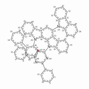 c1ccc(-c2nc(-c3ccccc3)nc(-n3c4ccccc4c4c(-n5c6ccccc6c6ccccc65)cc5c6ccccc6n(-c6ccccc6-c6ccccc6)c5c43)n2)cc1